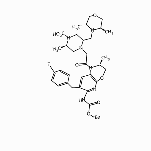 C[C@@H]1CN(CC(=O)N2c3cc(Cc4ccc(F)cc4)c(NC(=O)OC(C)(C)C)nc3OC[C@@H]2C)C(CN2[C@H](C)COC[C@H]2C)CN1C(=O)O